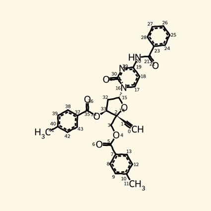 C#C[C@]1(COC(=O)c2ccc(C)cc2)O[C@@H](n2ccc(NC(=O)c3ccccc3)nc2=O)C[C@@H]1OC(=O)c1ccc(C)cc1